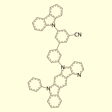 N#Cc1cc(-c2cccc(-n3c4cc5c(cc4c4ncccc43)c3ccccc3n5-c3ccccc3)c2)cc(-n2c3ccccc3c3ccccc32)c1